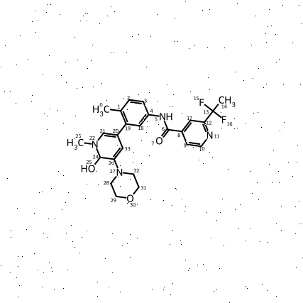 Cc1ccc(NC(=O)c2ccnc(C(C)(F)F)c2)cc1C1=CN(C)C(O)C(N2CCOCC2)=C1